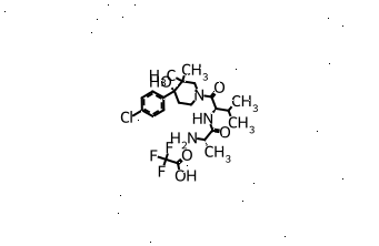 CC(C)[C@@H](NC(=O)[C@H](C)N)C(=O)N1CC[C@](O)(c2ccc(Cl)cc2)C(C)(C)C1.O=C(O)C(F)(F)F